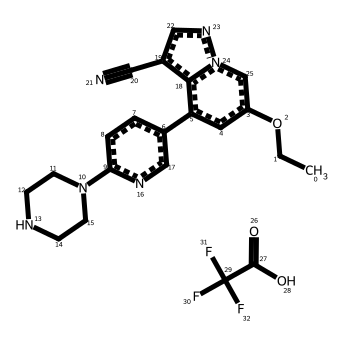 CCOc1cc(-c2ccc(N3CCNCC3)nc2)c2c(C#N)cnn2c1.O=C(O)C(F)(F)F